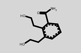 NC(=O)c1cccc(CCO)c1CCO